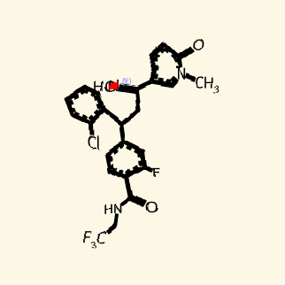 Cn1cc(/C(CC(c2ccc(C(=O)NCC(F)(F)F)c(F)c2)c2ccccc2Cl)=N/O)ccc1=O